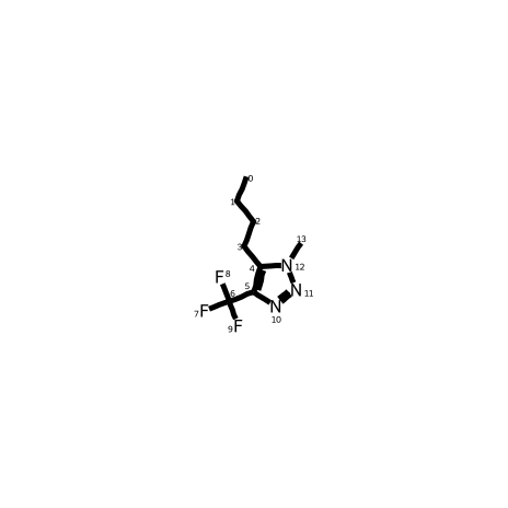 CCCCc1c(C(F)(F)F)nnn1C